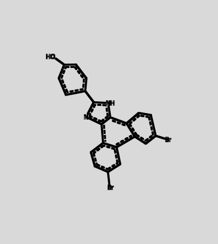 Oc1ccc(-c2nc3c4ccc(Br)cc4c4cc(Br)ccc4c3[nH]2)cc1